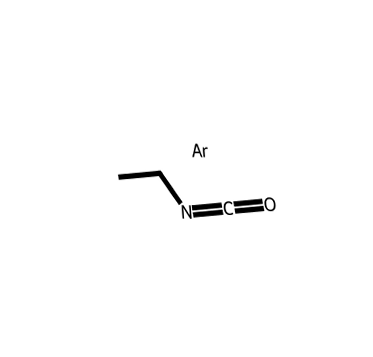 CCN=C=O.[Ar]